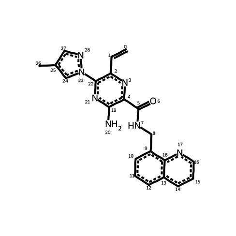 C=Cc1nc(C(=O)NCc2cccc3cccnc23)c(N)nc1-n1cc(C)cn1